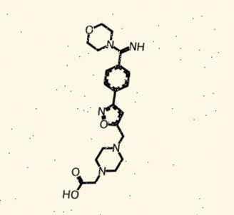 N=C(c1ccc(-c2cc(CN3CCN(CC(=O)O)CC3)on2)cc1)N1CCOCC1